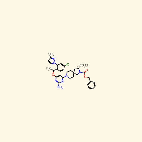 CCOC(=O)[C@H]1CC2(CCN(c3cc(OC(c4ccc(Cl)cc4-n4ccc(C)n4)C(F)(F)F)nc(N)n3)CC2)CN1C(=O)OCc1ccccc1